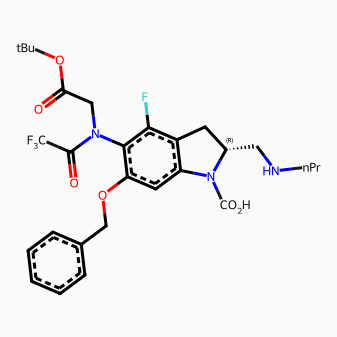 CCCNC[C@H]1Cc2c(cc(OCc3ccccc3)c(N(CC(=O)OC(C)(C)C)C(=O)C(F)(F)F)c2F)N1C(=O)O